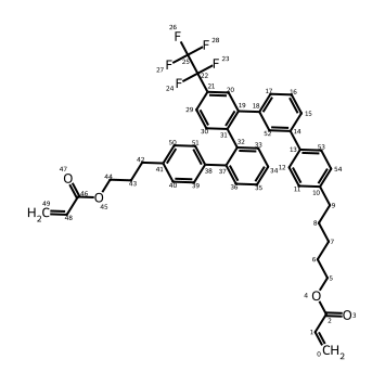 C=CC(=O)OCCCCCc1ccc(-c2cccc(-c3cc(C(F)(F)C(F)(F)F)ccc3-c3ccccc3-c3ccc(CCCOC(=O)C=C)cc3)c2)cc1